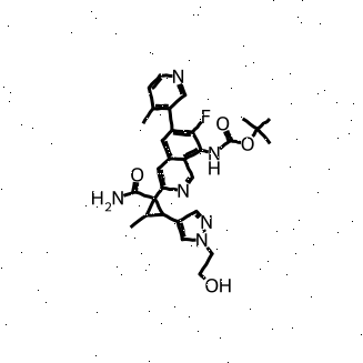 Cc1ccncc1-c1cc2cc(C3(C(N)=O)C(C)C3c3cnn(CCO)c3)ncc2c(NC(=O)OC(C)(C)C)c1F